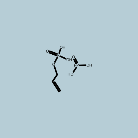 C=CCOP(=O)(O)O.O=[PH](O)O